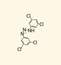 Clc1cc(Cl)cc(/N=N\Nc2cc(Cl)cc(Cl)c2)c1